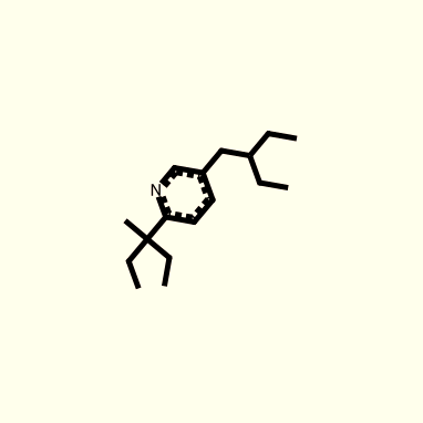 CCC(CC)Cc1ccc(C(C)(CC)CC)nc1